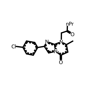 CCCC(=O)Cn1c(C)cc(=O)n2cc(-c3ccc(Cl)cc3)nc12